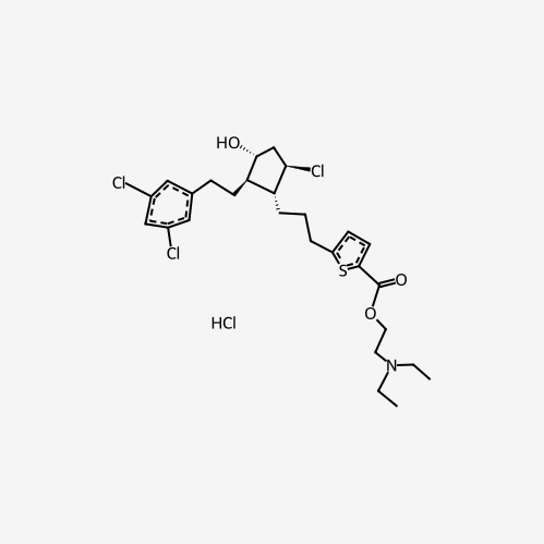 CCN(CC)CCOC(=O)c1ccc(CCC[C@@H]2[C@@H](CCc3cc(Cl)cc(Cl)c3)[C@H](O)C[C@H]2Cl)s1.Cl